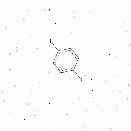 Ic1[c]cc(I)[c]c1